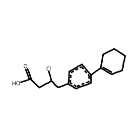 O=C(O)CC(Cl)Cc1ccc(C2=CCCCC2)cc1